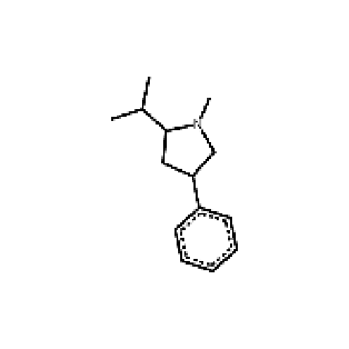 CC(C)C1CC(c2ccccc2)CN1I